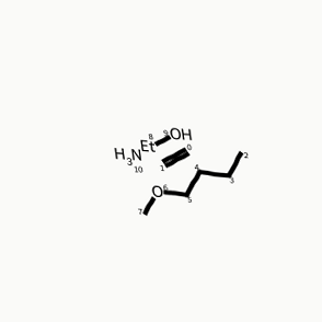 C=C.CCCCOC.CCO.N